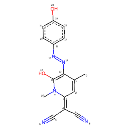 CC1=CC(=C(C#N)C#N)N(C)C(O)=C1/N=N/c1ccc(O)cc1